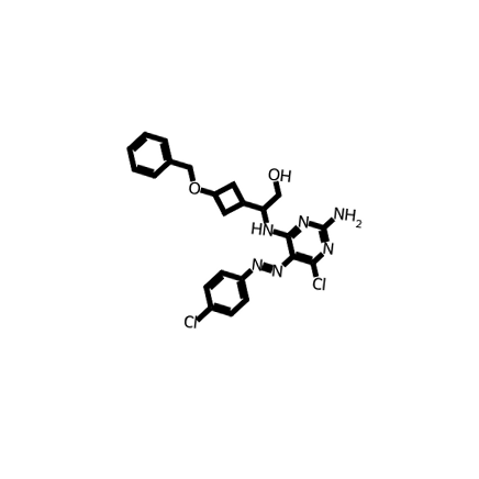 Nc1nc(Cl)c(N=Nc2ccc(Cl)cc2)c(NC(CO)C2CC(OCc3ccccc3)C2)n1